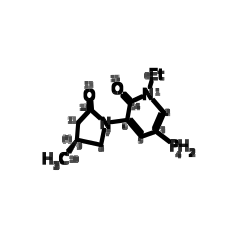 CCn1cc(P)cc(N2C[C@@H](C)CC2=O)c1=O